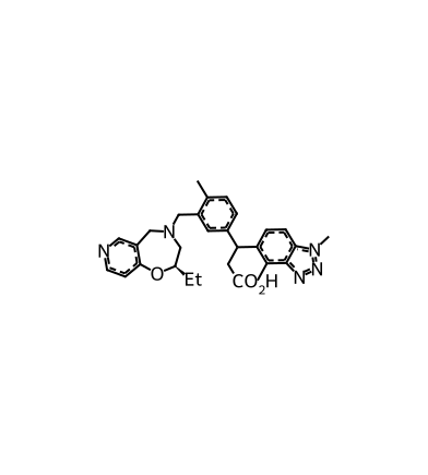 CC[C@@H]1CN(Cc2cc(C(CC(=O)O)c3ccc4c(nnn4C)c3C)ccc2C)Cc2cnccc2O1